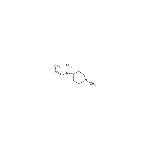 C/N=C\N(C)C1CCN(C)CC1